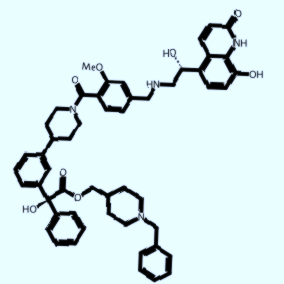 COc1cc(CNC[C@H](O)c2ccc(O)c3[nH]c(=O)ccc23)ccc1C(=O)N1CCC(c2cccc([C@](O)(C(=O)OCC3CCN(Cc4ccccc4)CC3)c3ccccc3)c2)CC1